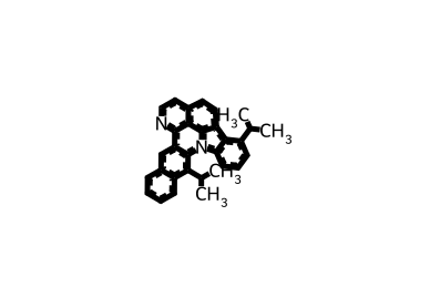 CC(C)c1cccc2c1c1ccc3ccnc4c5cc6ccccc6c(C(C)C)c5n2c1c34